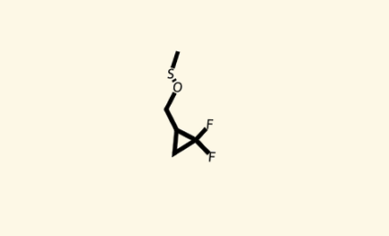 CSOCC1CC1(F)F